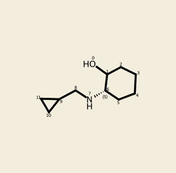 OC1CCCC[C@@H]1NCC1CC1